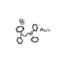 [Au+3].[Cl-].[Cl-].[Cl-].c1ccc(P(CCP(c2ccccc2)c2ccccc2)c2ccccc2)cc1